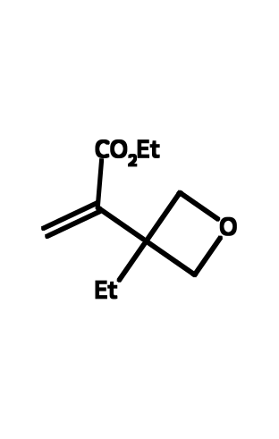 C=C(C(=O)OCC)C1(CC)COC1